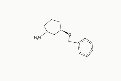 NC1CCC[C@@H](OCc2ccccc2)C1